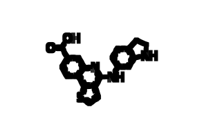 O=C(O)c1ccc2c(c1)nc(Nc1ccc3c(c1)NCC3)c1ccsc12